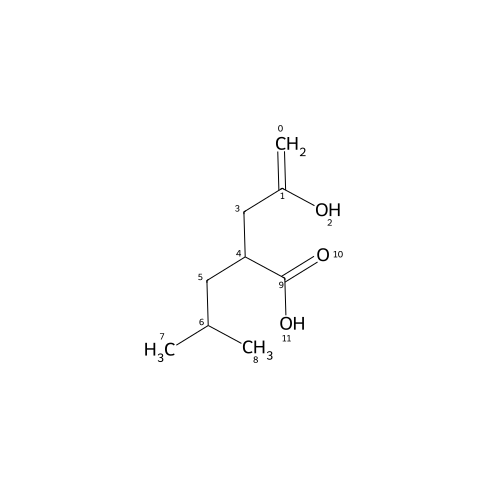 C=C(O)CC(CC(C)C)C(=O)O